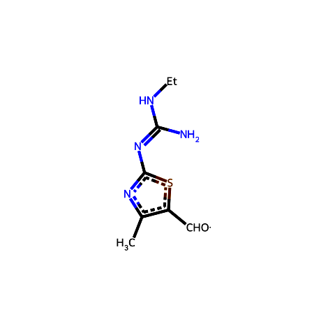 CCN/C(N)=N/c1nc(C)c([C]=O)s1